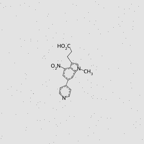 Cn1cc(CCC(=O)O)c2c([N+](=O)[O-])cc(-c3ccncc3)cc21